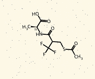 CC(=O)SCC(C(=O)N[C@@H](C)C(=O)O)C(F)(F)F